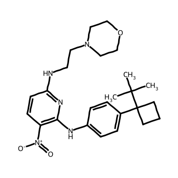 CC(C)(C)C1(c2ccc(Nc3nc(NCCN4CCOCC4)ccc3[N+](=O)[O-])cc2)CCC1